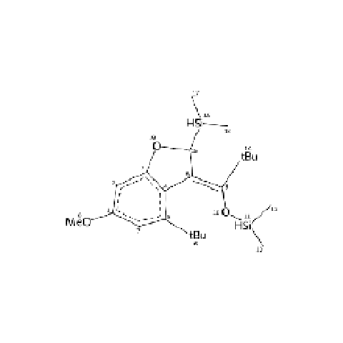 COc1cc2c(c(C(C)(C)C)c1)C(=C(O[SiH](C)C)C(C)(C)C)C([SiH](C)C)O2